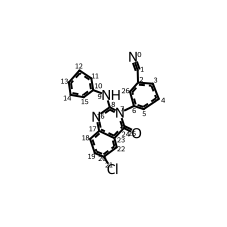 N#Cc1cccc(-n2c(Nc3ccccc3)nc3ccc(Cl)cc3c2=O)c1